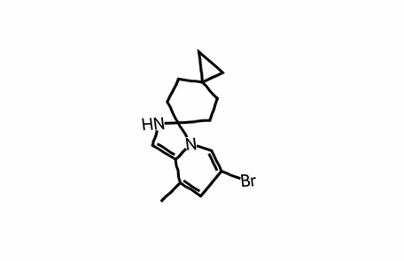 CC1=CC(Br)=CN2C1=CNC21CCC2(CC2)CC1